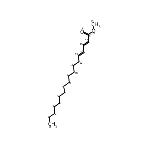 CCCCCCCCCCCCCC=CC=CC(=O)OC